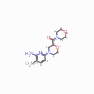 Nc1nc(N2CCOC(C(=O)N3CCOCC3)C2)ccc1[N+](=O)[O-]